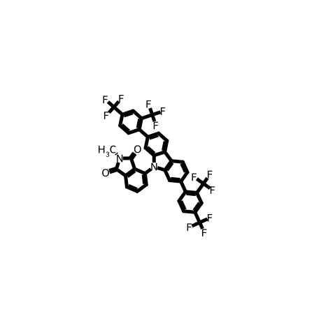 CN1C(=O)c2cccc(-n3c4cc(-c5ccc(C(F)(F)F)cc5C(F)(F)F)ccc4c4ccc(-c5ccc(C(F)(F)F)cc5C(F)(F)F)cc43)c2C1=O